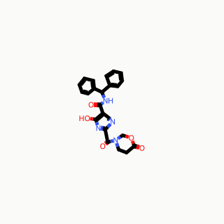 O=C1CCN(C(=O)c2ncc(C(=O)NC(c3ccccc3)c3ccccc3)c(O)n2)CO1